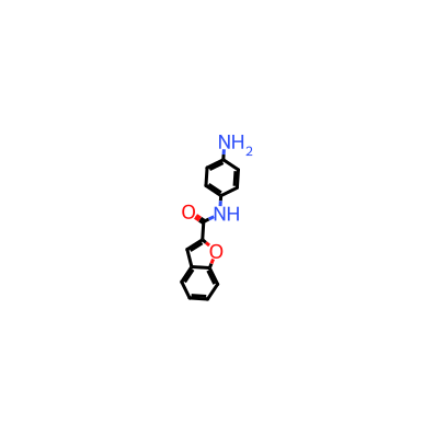 Nc1ccc(NC(=O)c2cc3ccccc3o2)cc1